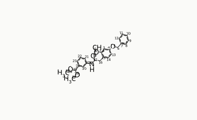 COc1cc(OCc2ccccc2)ccc1CC(=O)Nc1cccc(C(OC)OC)c1